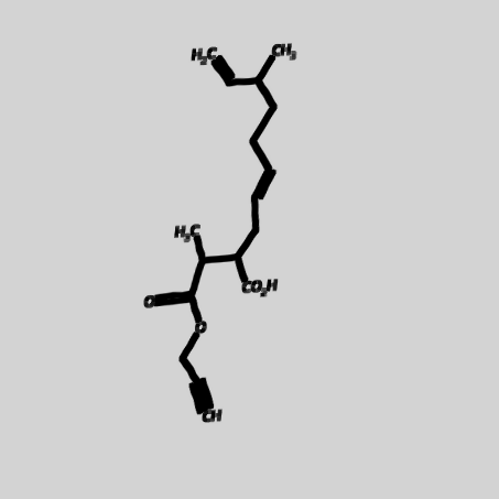 C#CCOC(=O)C(C)C(CC=CCCC(C)C=C)C(=O)O